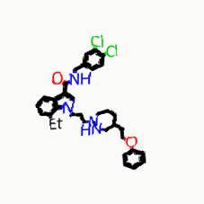 CCc1cccc2c(C(=O)NCc3ccc(Cl)c(Cl)c3)cn(CCCN3CCCC(CCOc4ccccc4)CN3)c12